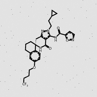 O=C(Nc1c2c(nn1CCC1CC1)C[C@]1(CCCc3cc(OCCCC(F)(F)F)ccc31)NC2=O)c1ccno1